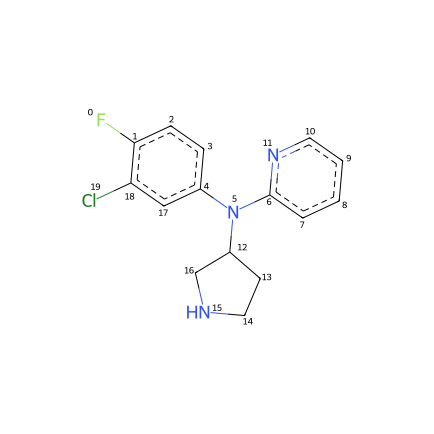 Fc1ccc(N(c2ccccn2)C2CCNC2)cc1Cl